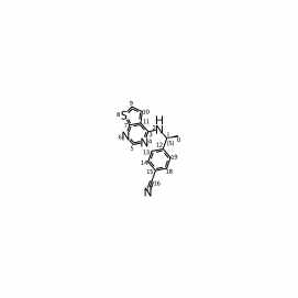 C[C@H](Nc1ncnc2sccc12)c1ccc(C#N)cc1